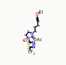 CCOC#CCCCN1CC[N+]([O-])(c2nnc(C(F)(F)F)s2)C1OC(C)=O